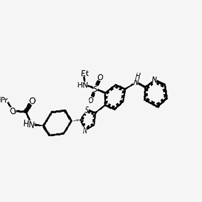 CCNS(=O)(=O)c1cc(Nc2ccccn2)ccc1-c1cnc([C@H]2CC[C@H](NC(=O)OC(C)C)CC2)s1